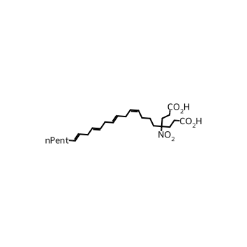 CCCCCC=CCC=CCC=CC/C=C\CCCC(CCC(=O)O)(CCC(=O)O)[N+](=O)[O-]